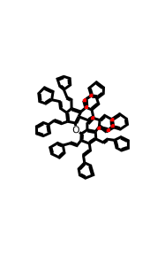 C(=Cc1c(C=Cc2ccccc2)c(C=Cc2ccccc2)c(Oc2c(C=Cc3ccccc3)c(C=Cc3ccccc3)c(C=Cc3ccccc3)c(C=Cc3ccccc3)c2C=Cc2ccccc2)c(C=Cc2ccccc2)c1C=Cc1ccccc1)c1ccccc1